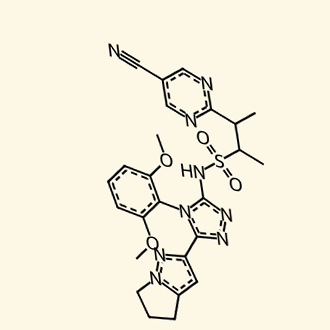 COc1cccc(OC)c1-n1c(NS(=O)(=O)C(C)C(C)c2ncc(C#N)cn2)nnc1-c1cc2n(n1)CCC2